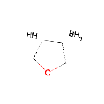 B.C1CCOC1.[HH]